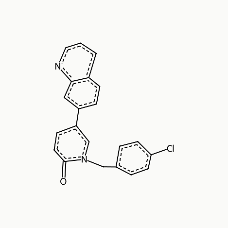 O=c1ccc(-c2ccc3cccnc3c2)cn1Cc1ccc(Cl)cc1